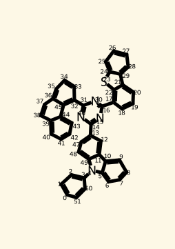 c1ccc(-n2c3ccccc3c3cc(-c4nc(-c5cccc6c5sc5ccccc56)nc(-c5cccc6ccc7ccccc7c56)n4)ccc32)cc1